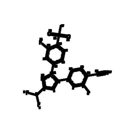 Cc1cc(-c2cc(C(F)F)nn2-c2ccc(S(C)(=O)=O)c(F)c2)ccc1C#N